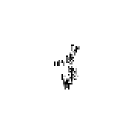 CCCc1nc(N2CC3C(C2)C3(F)F)ccc1Cn1cnc(C(=O)N[C@@H]2CCc3c2ncn3C)c1